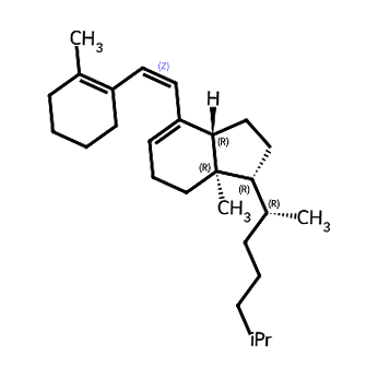 CC1=C(/C=C\C2=CCC[C@]3(C)[C@@H]([C@H](C)CCCC(C)C)CC[C@@H]23)CCCC1